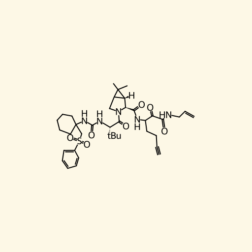 C#CCCC(NC(=O)[C@@H]1[C@@H]2C(CN1C(=O)[C@@H](NC(=O)NC1(CS(=O)(=O)c3ccccc3)CCCCC1)C(C)(C)C)C2(C)C)C(=O)C(=O)NCC=C